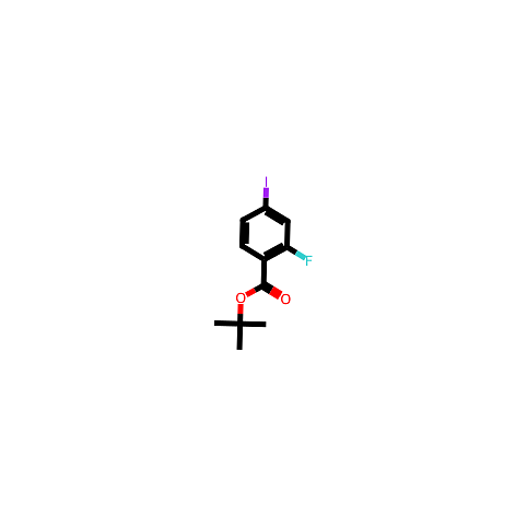 CC(C)(C)OC(=O)c1ccc(I)cc1F